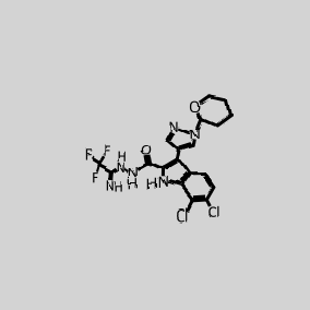 N=C(NNC(=O)c1[nH]c2c(Cl)c(Cl)ccc2c1-c1cnn(C2CCCCO2)c1)C(F)(F)F